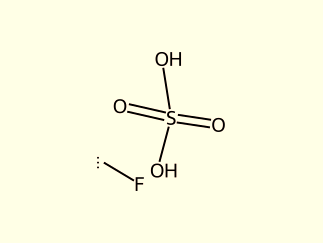 O=S(=O)(O)O.[C]F